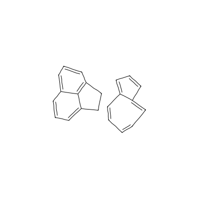 c1cc2c3c(cccc3c1)CC2.c1ccc2cccc-2cc1